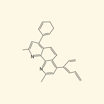 C=C/C=C(\C=C)c1cc(C)nc2c1ccc1c(C3=CCCC=C3)cc(C)nc12